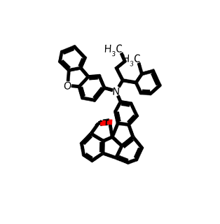 CCCC(C1C=CC=CC1C)N(c1ccc2c(c1)C13c4ccccc4-c4cccc(c41)-c1cccc-2c13)c1ccc2oc3ccccc3c2c1